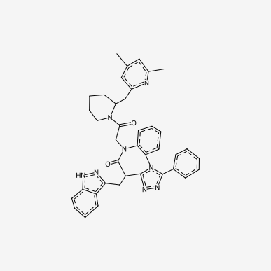 Cc1cc(C)nc(CC2CCCCN2C(=O)CN2C(=O)C(Cc3n[nH]c4ccccc34)c3nnc(-c4ccccc4)n3-c3ccccc32)c1